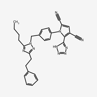 CCCCc1nc(CCc2ccccc2)nn1Cc1ccc(-n2c(C#N)cc(C#N)c2-c2nnn[nH]2)cc1